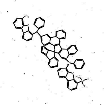 Cc1cccc2c1oc1c(N(c3ccccc3)c3ccc4c5c(c6ccccc6c4c3)-c3c(cc(N(c4ccccc4)c4cccc6c4oc4c([Si](C)(C)C)cccc46)c4ccccc34)C53c4ccccc4-c4ccccc43)cccc12